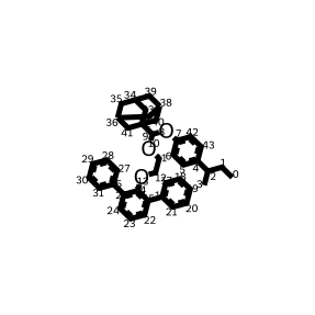 CCC(C)c1ccc(OC(OCCOc2c(-c3ccccc3)cccc2-c2ccccc2)C23CC4CC(CC(C4)C2)C3)cc1